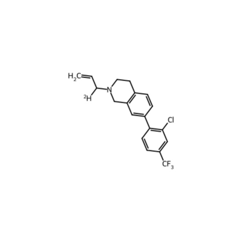 [2H]C(C=C)N1CCc2ccc(-c3ccc(C(F)(F)F)cc3Cl)cc2C1